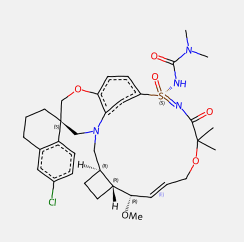 CO[C@H]1/C=C/COC(C)(C)C(=O)N=[S@@](=O)(NC(=O)N(C)C)c2ccc3c(c2)N(C[C@@H]2CC[C@H]21)C[C@@]1(CCCc2cc(Cl)ccc21)CO3